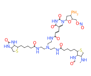 CNC1CSC(CCCCC(=O)NCCN(CCNC(=O)/C=C/c2cn(C3CC(P)C(CON=O)O3)c(=O)[nH]c2=O)CCNC(=O)CCCCC2SCC3NC(=O)NC32)C1NC=O